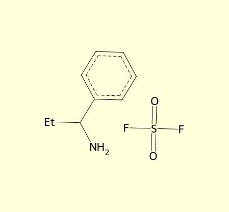 CCC(N)c1ccccc1.O=S(=O)(F)F